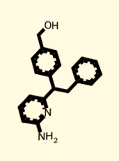 Nc1cccc(C(Cc2ccccc2)c2ccc(CO)cc2)n1